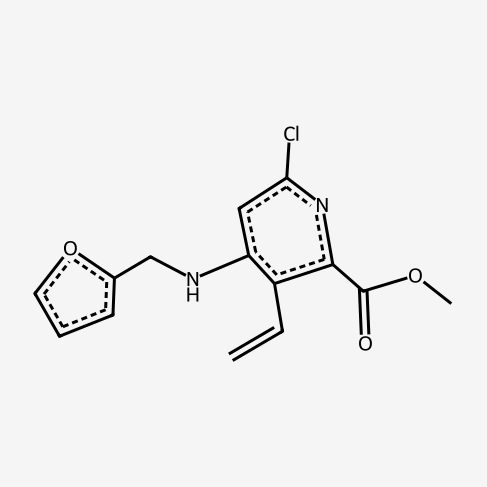 C=Cc1c(NCc2ccco2)cc(Cl)nc1C(=O)OC